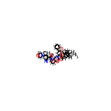 CC1(C)[C@@H]2C[C@H]3OB([C@H](Cc4coc5ccccc45)N(CC4CCCCN4C(=O)C(C#N)=CC(C)(C)N4CCOCC4)C(=O)O)O[C@@]3(C)[C@H]1C2